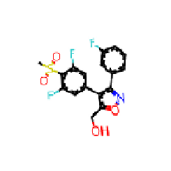 CS(=O)(=O)c1c(F)cc(-c2c(-c3cccc(F)c3)noc2CO)cc1F